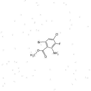 COC(=O)c1c(Br)cc(Cl)c(F)c1N